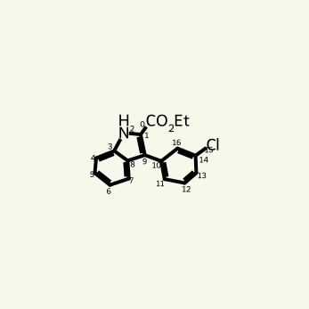 CCOC(=O)c1[nH]c2ccccc2c1-c1cccc(Cl)c1